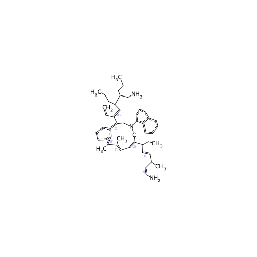 C=CC(=C\C(CCC)C(CN)CCC)/C1=c2\cccc\c2=C(C)/C(C)=C/C=C(/C(/C=C/C(C)/C=C\N)CC)CN(c2cccc3ccccc23)C1